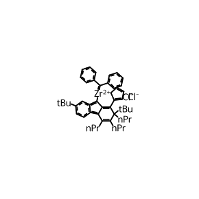 CCCC1=C(CCC)C(CCC)(C(C)(C)C)C(C2=CC=CC2)=C2[C]([Zr+2]=[C](c3ccccc3)c3ccccc3)=c3cc(C(C)(C)C)ccc3=C12.[Cl-].[Cl-]